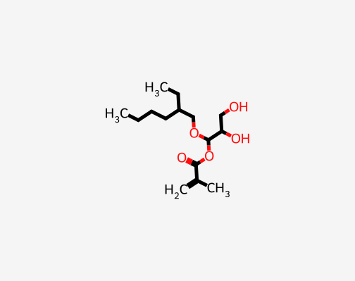 C=C(C)C(=O)OC(OCC(CC)CCCC)C(O)CO